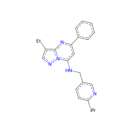 CCc1cnn2c(NCc3ccc(C(C)C)nc3)cc(-c3ccccc3)nc12